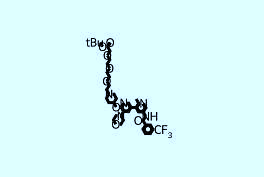 Cc1ncc(NC(=O)c2cccc(C(F)(F)F)c2)cc1-c1cnc(OC2CCN(CCOCCOCCOCC(=O)OC(C)(C)C)CC2)c(N2CCOCC2)c1